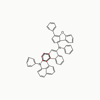 c1ccc(-c2ccc(N(c3ccccc3)c3cc4cccc(-c5cccc6cccc(N(c7ccccc7)c7ccccc7)c56)c4c4ccccc34)c3c2oc2ccccc23)cc1